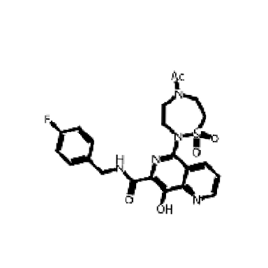 CC(=O)N1CCN(c2nc(C(=O)NCc3ccc(F)cc3)c(O)c3ncccc23)S(=O)(=O)CC1